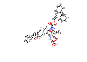 CC(C)(C)Oc1ccc(C[C@@H](CN(CC(=O)O)S(C)(=O)=O)NC(=O)OCC2c3ccccc3-c3ccccc32)cc1